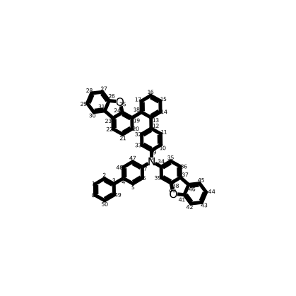 c1ccc(-c2ccc(N(c3ccc(-c4ccccc4-c4cccc5c4oc4ccccc45)cc3)c3ccc4c(c3)oc3ccccc34)cc2)cc1